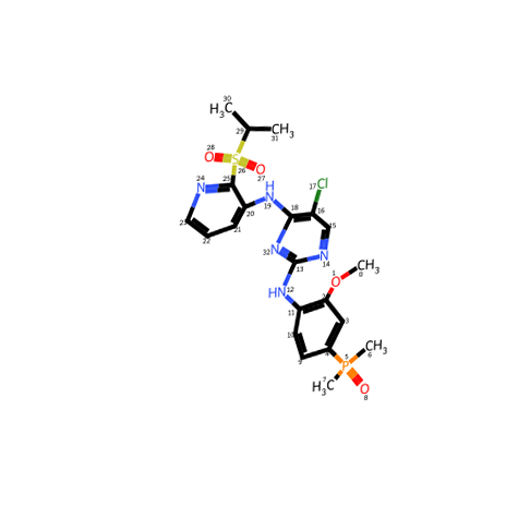 COc1cc(P(C)(C)=O)ccc1Nc1ncc(Cl)c(Nc2cccnc2S(=O)(=O)C(C)C)n1